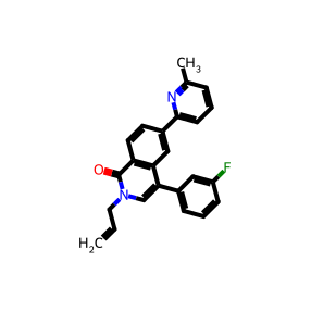 C=CCn1cc(-c2cccc(F)c2)c2cc(-c3cccc(C)n3)ccc2c1=O